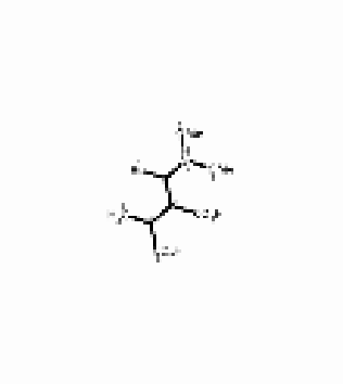 CCC(C(C(=O)O)C(C)C(=O)O)[SiH](OC)OC